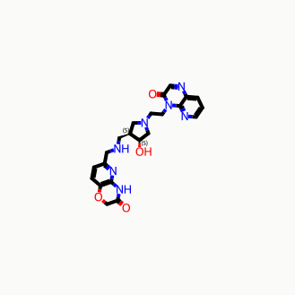 O=C1COc2ccc(CNC[C@H]3CN(CCn4c(=O)cnc5cccnc54)C[C@H]3O)nc2N1